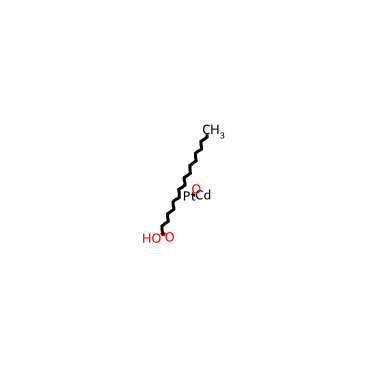 CCCCCCCCCCCCCCCCCC(=O)O.[Cd].[O]=[Pt]